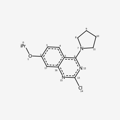 CC(C)Oc1ccc2c(N3CCCC3)nc(Cl)nc2c1